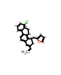 C=CC1=Cc2ccc3c(c2C(Cc2ccco2)C1)CCc1c(Cl)cccc1-3